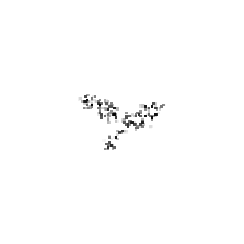 Cc1ccc(-c2nc3cc(O[C@@H]4CO[C@H]5[C@@H]4OC[C@H]5O[Si](C)(C)C(C)(C)C)n(COCC[Si](C)(C)C)c3cc2F)c(F)c1